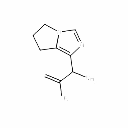 C=C(CCC)C(N)c1ncn2c1CCC2